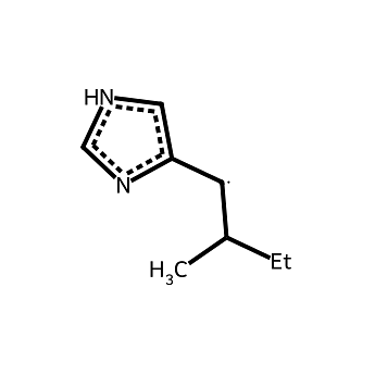 CCC(C)[CH]c1c[nH]cn1